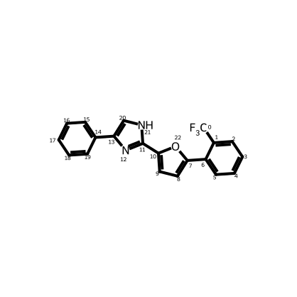 FC(F)(F)c1ccccc1-c1ccc(-c2nc(-c3ccccc3)c[nH]2)o1